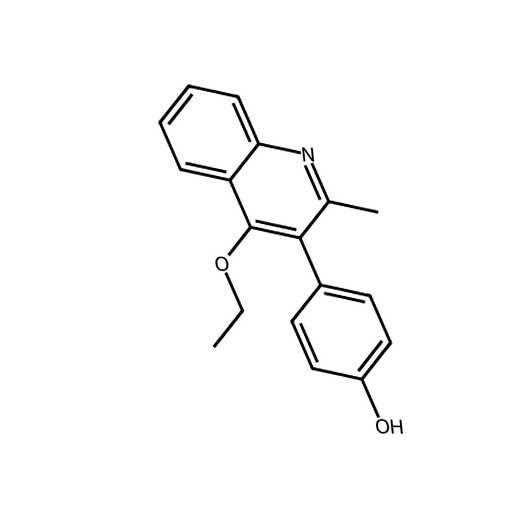 CCOc1c(-c2ccc(O)cc2)c(C)nc2ccccc12